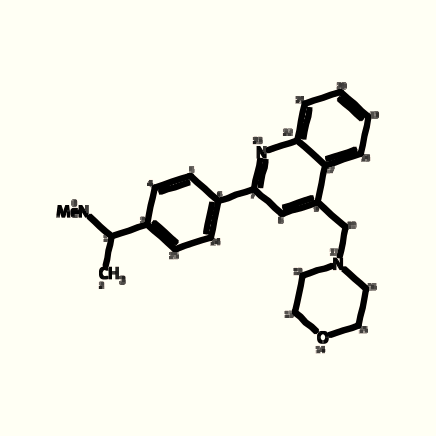 CNC(C)c1ccc(-c2cc(CN3CCOCC3)c3ccccc3n2)cc1